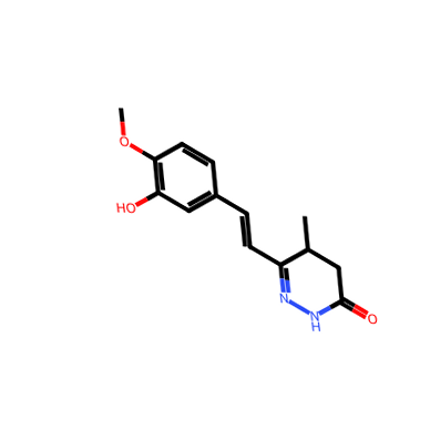 COc1ccc(C=CC2=NNC(=O)CC2C)cc1O